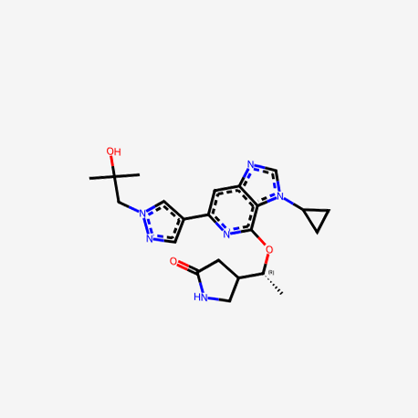 C[C@@H](Oc1nc(-c2cnn(CC(C)(C)O)c2)cc2ncn(C3CC3)c12)C1CNC(=O)C1